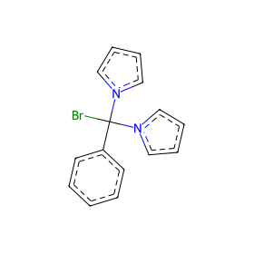 BrC(c1ccccc1)(n1cccc1)n1cccc1